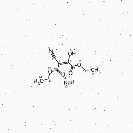 CCOC(=O)C(O)=C(C#N)C(=O)OCC.[NaH]